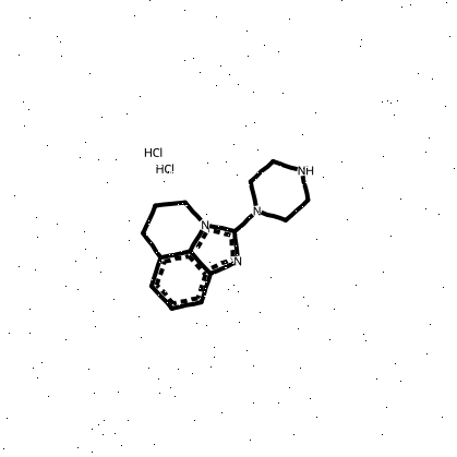 Cl.Cl.c1cc2c3c(c1)nc(N1CCNCC1)n3CCC2